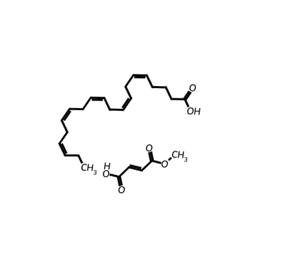 CC/C=C\C/C=C\C/C=C\C/C=C\C/C=C\CCCC(=O)O.COC(=O)/C=C/C(=O)O